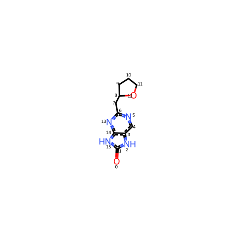 O=c1[nH]c2cnc(CC3CCCO3)nc2[nH]1